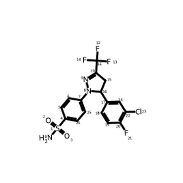 NS(=O)(=O)c1ccc(N2N=C(C(F)(F)F)CC2c2ccc(F)c(Cl)c2)cc1